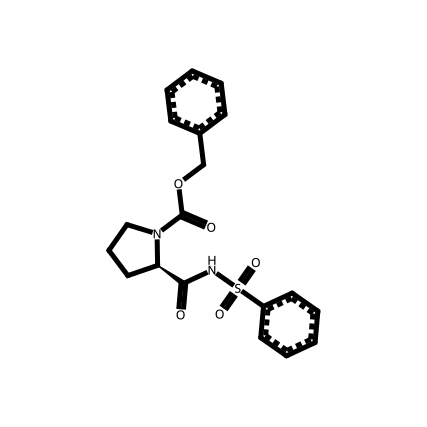 O=C(NS(=O)(=O)c1ccccc1)[C@H]1CCCN1C(=O)OCc1ccccc1